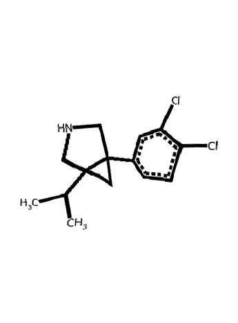 CC(C)C12CNCC1(c1ccc(Cl)c(Cl)c1)C2